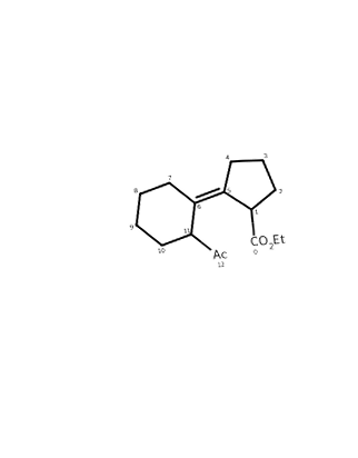 CCOC(=O)C1CCCC1=C1CCCCC1C(C)=O